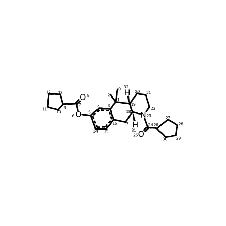 CC1(C)c2cc(OC(=O)C3CCCC3)ccc2C[C@@H]2[C@H]1CCCN2C(=O)C1CCCC1